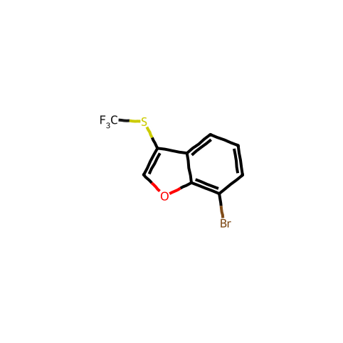 FC(F)(F)Sc1coc2c(Br)cccc12